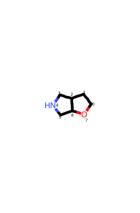 [CH]1CC2CNCC2O1